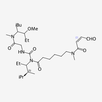 CCC(C)C(C(CC)OC)N(C)C(=O)CNC(=O)N(C(=O)CCCCCN(C)C(=O)/C=C\C=O)C(CC)[C@@H](C)C(C)C